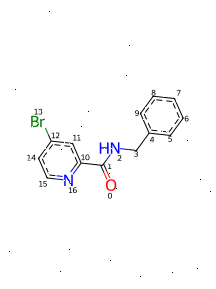 O=C(NCc1ccccc1)c1cc(Br)ccn1